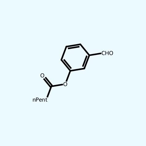 CCCCCC(=O)Oc1cccc(C=O)c1